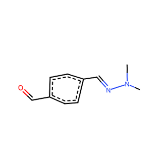 CN(C)N=Cc1ccc(C=O)cc1